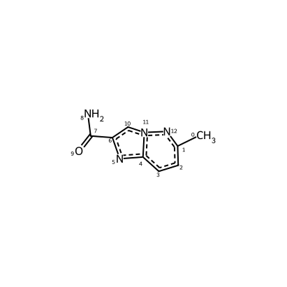 Cc1ccc2nc(C(N)=O)cn2n1